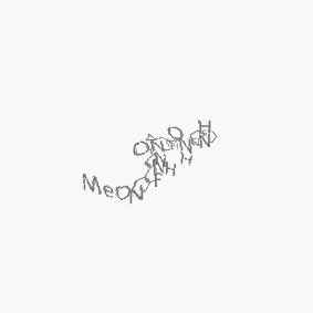 COc1cc(-c2cc(C(=O)N3CC[C@H](C(=O)N[C@H]4CC[C@@H]5CCCN5C4)CC34CC4)n[nH]2)c(F)cn1